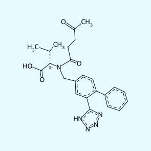 CC(=O)CCC(=O)N(Cc1ccc(-c2ccccc2)c(-c2nnn[nH]2)c1)[C@H](C(=O)O)C(C)C